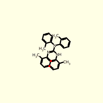 Cc1ccccc1N=C(Nc1ccccc1C)N(c1ccccc1C)c1ccccc1C